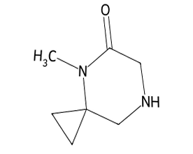 CN1C(=O)CNCC12CC2